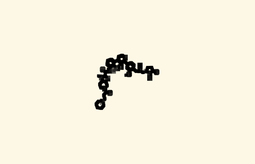 COc1cc(-c2nccc(-c3cccc(NC(=O)c4nc5c(n4C)CCN(C(=O)CCN4CCCCC4)C5)c3Cl)c2Cl)ccc1CNC[C@H]1CCC(=O)N1